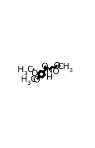 CCOc1cc(C(=O)NCC(=O)OC)ccc1OC